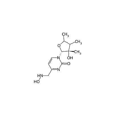 CC1O[C@@H](n2ccc(CNO)nc2=O)[C@@](C)(O)C1C